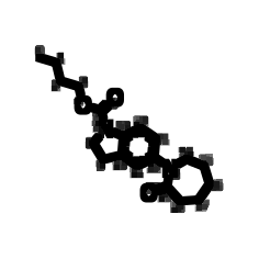 CCCCOC(=O)N1CCc2cc(N3CCCCCC3=O)ccc21